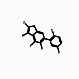 FC1=C(F)c2c(cc(-c3cc(F)ccc3F)c(F)c2F)[CH]1